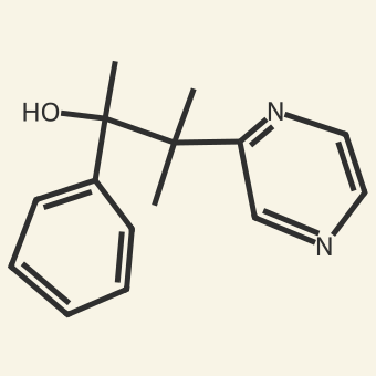 CC(C)(c1cnccn1)C(C)(O)c1ccccc1